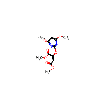 COC(=O)C=C(Oc1nc(OC)cc(OC)n1)C(=O)OC